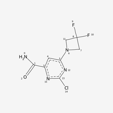 NC(=O)c1cc(N2CC(F)(F)C2)nc(Cl)n1